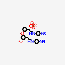 COc1cccc(CCCNc2ccc([N+]#N)cc2)c1.COc1cccc(CCCNc2ccc([N+]#N)cc2)c1.O=S(=O)([O-])[O-]